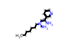 CCCCCCCN(N)/C=C(\N)c1cccnc1